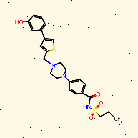 O=C(NS(=O)(=O)CCC(F)(F)F)c1ccc(N2CCN(Cc3cc(-c4cccc(O)c4)cs3)CC2)cc1